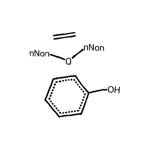 C=C.CCCCCCCCCOCCCCCCCCC.Oc1ccccc1